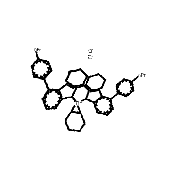 CCCc1ccc(-c2cccc3c2C=C(C2CCCCC2)[CH]3[Ti+2]2([CH]3C(C4CCCCC4)=Cc4c(-c5ccc(CCC)cc5)cccc43)[CH]3CCCC[CH]32)cc1.[Cl-].[Cl-]